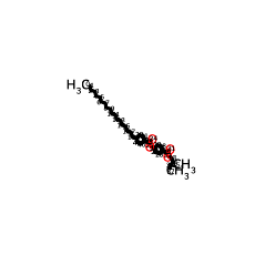 CCCCCCCCCCCCCCCCCCCc1ccc(C(=O)Oc2ccc(C(=O)OCC(C)CC)cc2)cc1